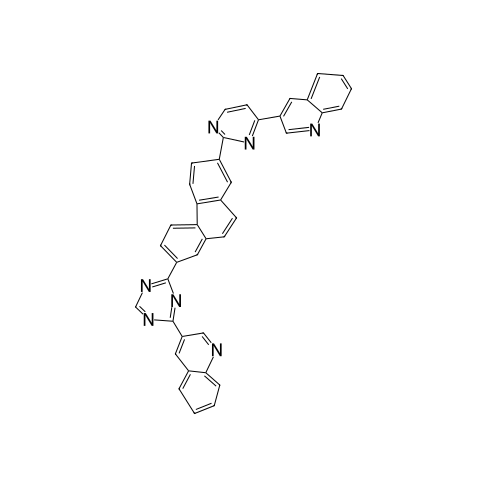 c1ccc2ncc(-c3ccnc(-c4ccc5c(ccc6cc(-c7ncnc(-c8cnc9ccccc9c8)n7)ccc65)c4)n3)cc2c1